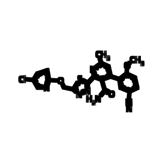 COc1ccc(C#N)cc1-c1cc(C)nc(-c2nnc(COc3ccc(Cl)cn3)s2)c1C(N)=O